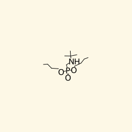 CCCCOP(=O)(CNC(C)(C)C)OCCCC